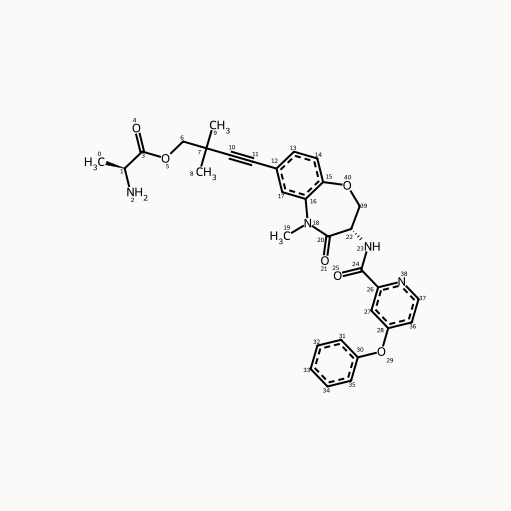 C[C@H](N)C(=O)OCC(C)(C)C#Cc1ccc2c(c1)N(C)C(=O)[C@@H](NC(=O)c1cc(Oc3ccccc3)ccn1)CO2